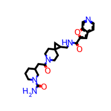 NC(=O)N1CCCC(CC(=O)N2CCC3(CC2)CC3CNC(=O)c2cc3ccncc3o2)C1